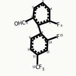 O=Cc1cccc(F)c1-c1ccc(C(F)(F)F)cc1F